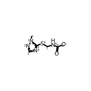 Cn1ncnc1SCNC([O])=O